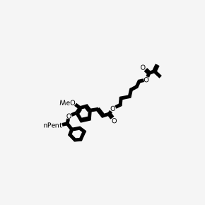 C=C(C)C(=O)OCCCCCCOC(=O)C=Cc1ccc(OC(CCCCC)C2CCCCC2)c(OC)c1